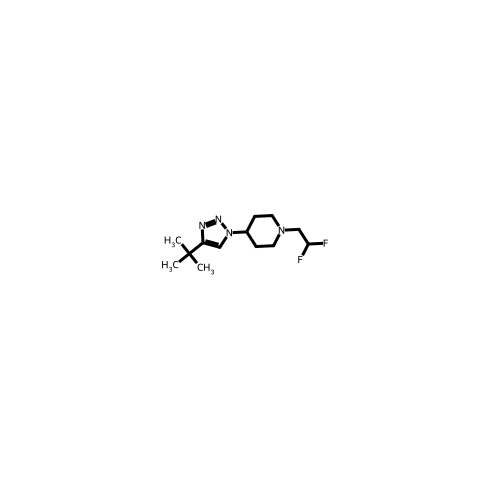 CC(C)(C)c1cn(C2CCN(CC(F)F)CC2)nn1